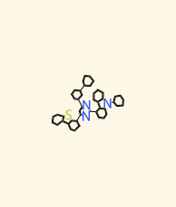 c1ccc(-c2cccc(-c3cc(-c4cccc5c4sc4ccccc45)nc(-c4cccc5c4c4ccccc4n5-c4ccccc4)n3)c2)cc1